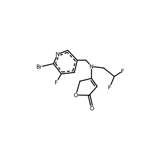 O=C1C=C(N(Cc2cnc(Br)c(F)c2)CC(F)F)CO1